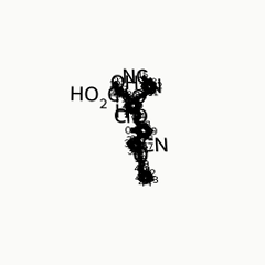 Cc1c(COc2cc(OCc3cncc(C#N)c3)c(CN[C@](C)(CO)C(=O)O)cc2Cl)cccc1-c1cccc(OCCCN2CCCC2)c1C#N